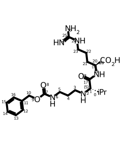 CC(C)[C@H](NCCCNC(=O)OCc1ccccc1)C(=O)N[C@@H](CCCNC(=N)N)C(=O)O